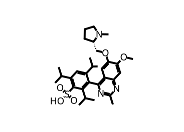 COc1cc2nc(C)nc(-c3c(C(C)C)cc(C(C)C)c(S(=O)(=O)O)c3C(C)C)c2cc1OC[C@@H]1CCCN1C